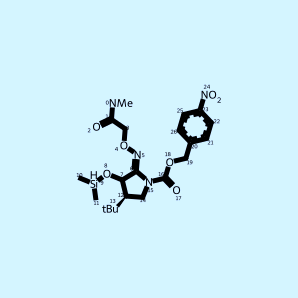 CNC(=O)CO/N=C1\C(O[SiH](C)C)[C@H](C(C)(C)C)CN1C(=O)OCc1ccc([N+](=O)[O-])cc1